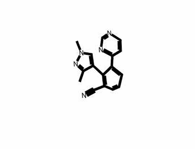 Cc1nn(C)cc1-c1c(C#N)cccc1-c1ccncn1